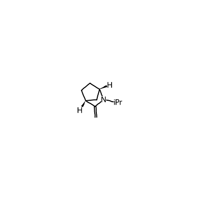 C=C1[C@@H]2CC[C@@H](C2)N1C(C)C